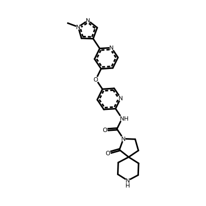 Cn1cc(-c2cc(Oc3ccc(NC(=O)N4CCC5(CCNCC5)C4=O)nc3)ccn2)cn1